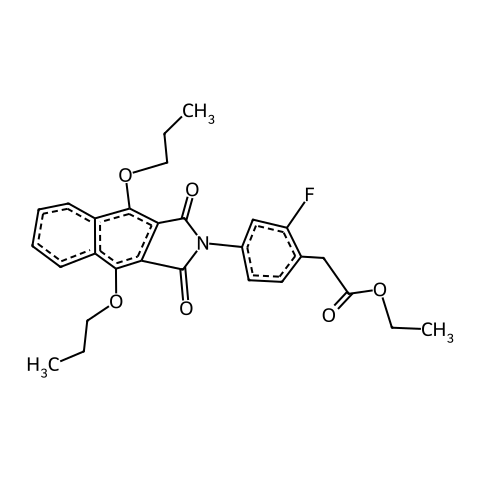 CCCOc1c2c(c(OCCC)c3ccccc13)C(=O)N(c1ccc(CC(=O)OCC)c(F)c1)C2=O